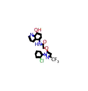 O=C(COc1cc(C(F)(F)F)nn1-c1ccccc1Cl)Nc1ccc(O)c2ncccc12